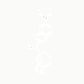 CCN(CC)c1ccc2cc(C(=O)C34CCCC5CC(CC5C3)C4)oc2c1